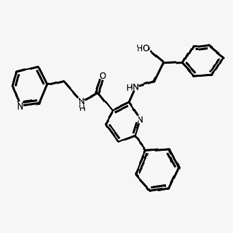 O=C(NCc1cccnc1)c1ccc(-c2ccccc2)nc1NCC(O)c1ccccc1